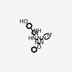 CN1CCN(c2nc(Nc3cc(-c4ccc(O)cc4)[nH]n3)nc(Oc3ccccc3)n2)CC1